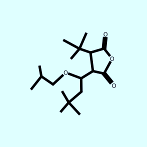 CC(C)COC(CC(C)(C)C)C1C(=O)OC(=O)C1C(C)(C)C